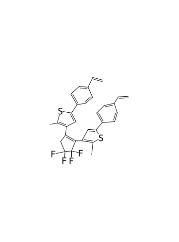 C=Cc1ccc(-c2cc(C3=C(c4cc(-c5ccc(C=C)cc5)sc4C)C(F)(F)C(F)(F)C3)c(C)s2)cc1